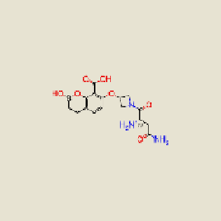 NC(=O)C[C@H](N)C(=O)N1CC(Oc2ccc3c(c2C(=O)O)OB(O)CC3)C1